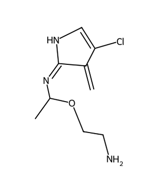 C=C1C(Cl)=CN/C1=N/C(C)OCCN